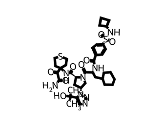 CC(C)(O)c1cnnn1[C@H]1C[C@@H](C(=O)NC2(C(=O)C(N)=O)CCSCC2)N(C(=O)C(CC2CCCCC2)NC(=O)c2ccc(S(=O)(=O)NC3CCC3)cc2)C1